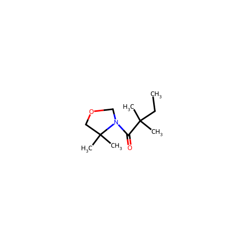 CCC(C)(C)C(=O)N1COCC1(C)C